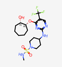 CNS(=O)(=O)N1CCC(Nc2ncc(C(F)(F)F)c(O[C@@H]3CCCCC[C@@H]3O)n2)CC1